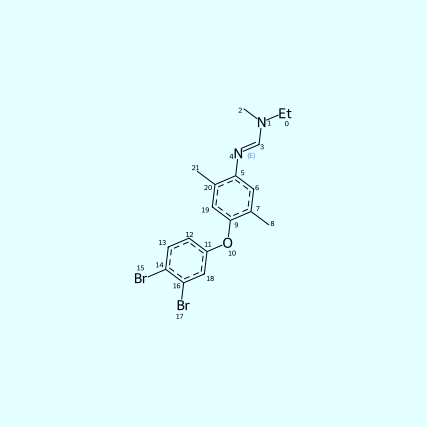 CCN(C)/C=N/c1cc(C)c(Oc2ccc(Br)c(Br)c2)cc1C